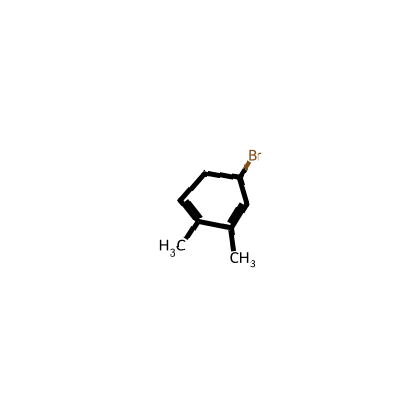 CC1=C[CH]C(Br)C=C1C